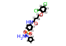 NN(C1CCCC1)S(=O)(=O)c1ccc(NC(=O)CCCOc2ccc(Cl)cc2Cl)cc1